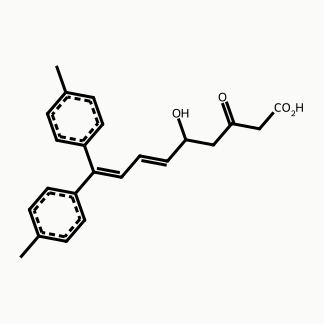 Cc1ccc(C(=CC=CC(O)CC(=O)CC(=O)O)c2ccc(C)cc2)cc1